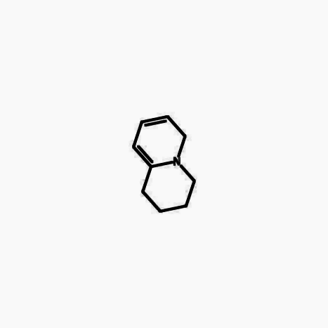 C1=CCN2CCCCC2=C1